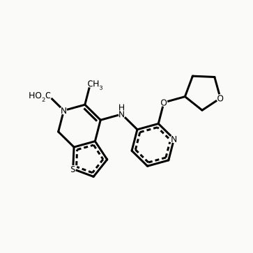 CC1=C(Nc2cccnc2OC2CCOC2)c2ccsc2CN1C(=O)O